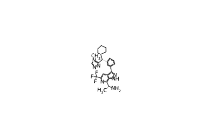 C[C@@H](N)c1nc(C(F)(F)F)cc2c(-c3cccc([C@H](c4nncn4C)C4CCCCC4)c3)n[nH]c12